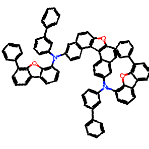 c1ccc(-c2cccc(N(c3ccc4c(ccc5oc6ccc7cc(N(c8cccc(-c9ccccc9)c8)c8cccc9c8oc8c(-c%10ccccc%10)cccc89)ccc7c6c54)c3)c3cccc4c3oc3c(-c5ccccc5)cccc34)c2)cc1